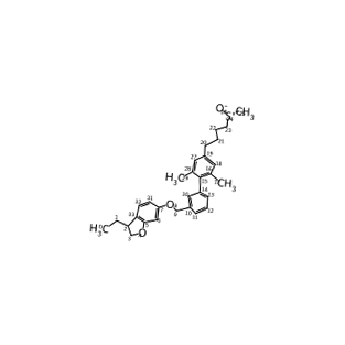 CCC1COc2cc(OCc3cccc(-c4c(C)cc(CCCC[S+](C)[O-])cc4C)c3)ccc21